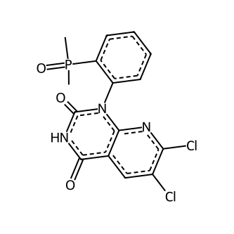 CP(C)(=O)c1ccccc1-n1c(=O)[nH]c(=O)c2cc(Cl)c(Cl)nc21